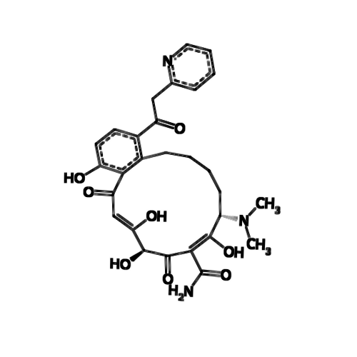 CN(C)[C@H]1CCCCc2c(C(=O)Cc3ccccn3)ccc(O)c2C(=O)/C=C(\O)[C@H](O)C(=O)/C(C(N)=O)=C\1O